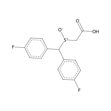 O=C(O)C[S+]([O-])C(c1ccc(F)cc1)c1ccc(F)cc1